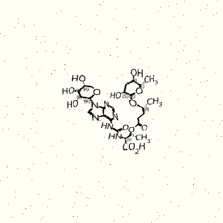 C[C@H](CCC(=O)O[C@H](C)[C@H](NC(=O)Nc1ncnc2c1ncn2[C@@H]1OC[C@@H](O)[C@H](O)[C@H]1O)C(=O)O)O[C@@H]1O[C@@H](C)[C@H](O)C[C@@H]1O